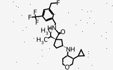 CC(C)[C@]1(C(=O)NCc2cc(CF)cc(C(F)(F)F)c2)CC[C@@H](NC2CCOCC2C2CC2)C1